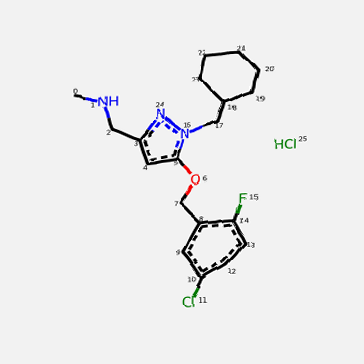 CNCc1cc(OCc2cc(Cl)ccc2F)n(CC2CCCCC2)n1.Cl